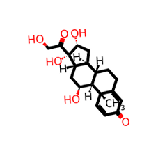 C[C@]12C=CC(=O)C=C1CC[C@H]1[C@@H]3C[C@@H](O)[C@](O)(C(=O)CO)[C@H]3C[C@H](O)[C@@H]12